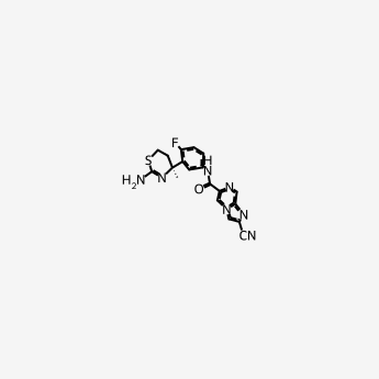 C[C@@]1(c2cc(NC(=O)c3cn4cc(C#N)nc4cn3)ccc2F)CCSC(N)=N1